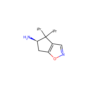 CC(C)C1(C(C)C)c2cnoc2C[C@H]1N